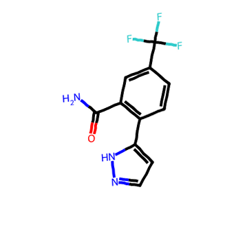 NC(=O)c1cc(C(F)(F)F)ccc1-c1ccn[nH]1